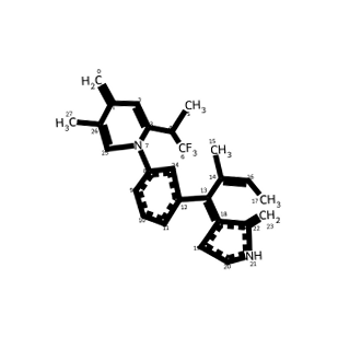 C=C1C=C(C(C)C(F)(F)F)N(c2cccc(C(/C(C)=C\C)=c3\cc[nH]c3=C)c2)C=C1C